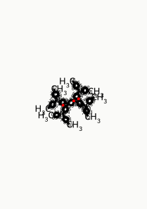 Cc1ccc(N(c2ccc(C)cc2)c2ccc(C3(c4ccc(N(c5ccc(C)cc5)c5ccc(C)cc5)cc4)CCC(c4ccc(N(c5ccc(C)cc5)c5ccc(C)cc5)cc4)(c4ccc(N(c5ccc(C)cc5)c5ccc(C)cc5)cc4)CC3)cc2)cc1